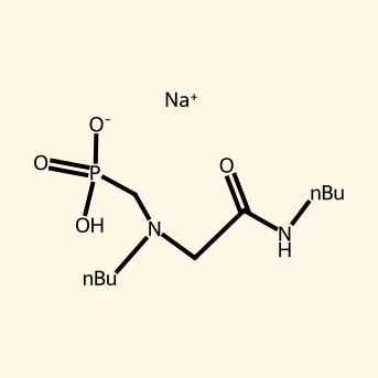 CCCCNC(=O)CN(CCCC)CP(=O)([O-])O.[Na+]